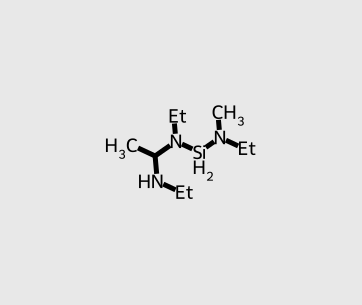 CCNC(C)N(CC)[SiH2]N(C)CC